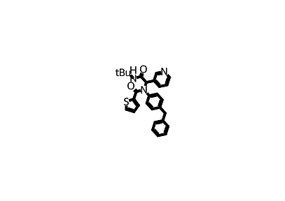 CC(C)(C)NC(=O)C(c1cccnc1)N(C(=O)c1cccs1)c1ccc(Cc2ccccc2)cc1